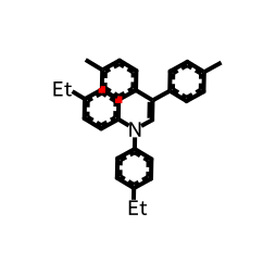 CCc1ccc(N(C=C(c2ccc(C)cc2)c2ccc(C)cc2)c2ccc(CC)cc2)cc1